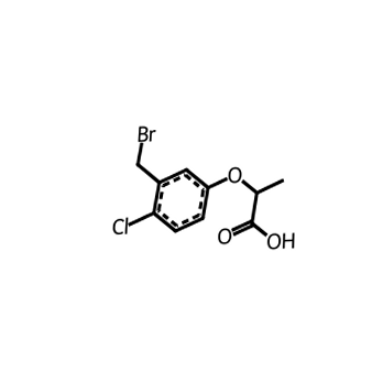 CC(Oc1ccc(Cl)c(CBr)c1)C(=O)O